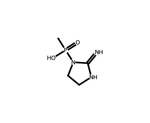 CP(=O)(O)N1CCNC1=N